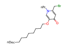 CCCCCCCCCCCCCCCCCCOc1cn(CCC)c(CBr)cc1=O